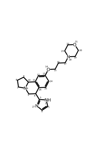 c1c[nH]c(C2CN3CCCC3c3cc(OCCCN4CCOCC4)ccc32)n1